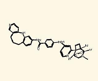 CN1C[C@H]2CC[C@@H]1[C@H]1CC[C@@]21c1cc(Nc2ccc(C(=O)Nc3ccc4c(c3)Nc3ccncc3CCC4)cc2)ccn1